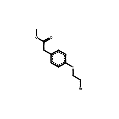 COC(=O)Cc1ccc(OCCBr)cc1